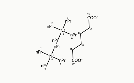 CCC[N+](CCC)(CCC)CCC.CCC[N+](CCC)(CCC)CCC.O=C([O-])CCCCC(=O)[O-]